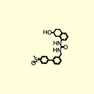 C[S+]([O-])c1ccc(-c2cccc(CNC(=O)Nc3cccc4c3CC(O)CC4)c2)cc1